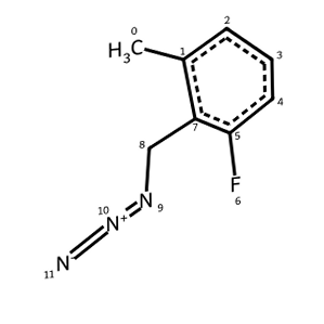 Cc1cccc(F)c1CN=[N+]=[N-]